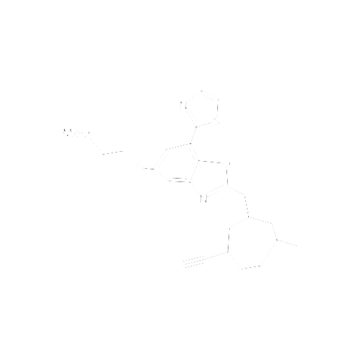 C#CC1CCC(C)CC(Cc2nc3cc(OCCOC)cc(-c4nccs4)c3o2)C1